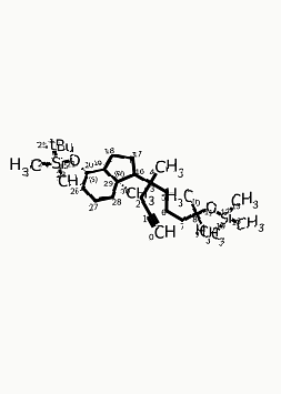 C#CCC(C)(CCCC(C)(C)O[Si](C)(C)C)C1CCC2[C@@H](O[Si](C)(C)C(C)(C)C)CCC[C@@]21C